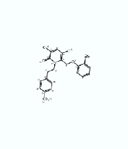 CCCc1ccccc1OCc1c(Cl)cc(Cl)c(=O)n1CCc1ccc(C(=O)O)cc1